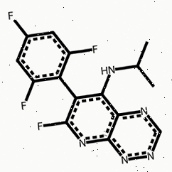 CC(C)Nc1c(-c2c(F)cc(F)cc2F)c(F)nc2nncnc12